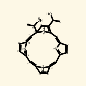 CC(O)C1=C2C=C3C=CC(=N3)C=c3ccc([nH]3)=CC3=NC(=CC(C(C)O)(C1)N2)C=C3